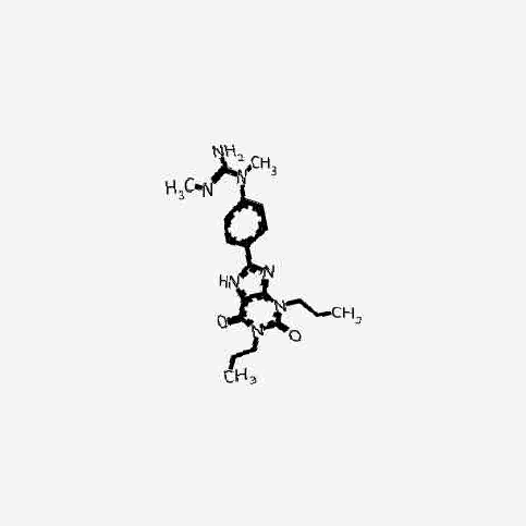 CCCn1c(=O)c2[nH]c(-c3ccc(N(C)C(N)=NC)cc3)nc2n(CCC)c1=O